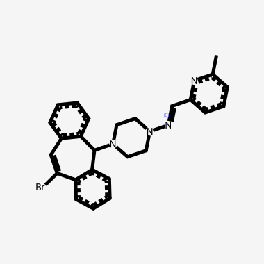 Cc1cccc(/C=N/N2CCN(C3c4ccccc4C=C(Br)c4ccccc43)CC2)n1